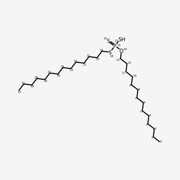 CCCCCCCCCCCCCCOP(=S)(S)SCCCCCCCCCCCCCC